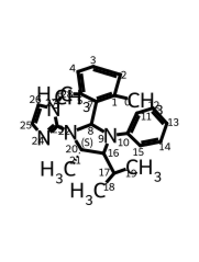 Cc1cccc(C)c1C1N(c2ccccc2)C(C(C)C)[C@H](C)N1c1nccn1C